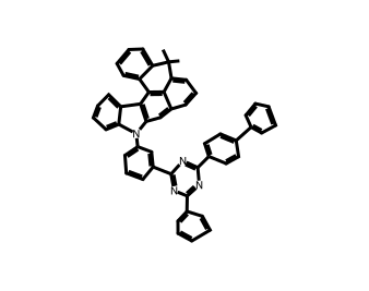 CC1(C)c2ccccc2-c2c3c1cccc3cc1c2c2ccccc2n1-c1cccc(-c2nc(-c3ccccc3)nc(-c3ccc(-c4ccccc4)cc3)n2)c1